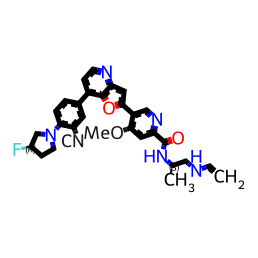 C=CNC[C@H](C)NC(=O)c1cc(OC)c(-c2cc3nccc(-c4ccc(N5CC[C@@H](F)C5)c(C#N)c4)c3o2)cn1